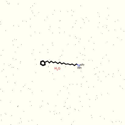 CCCN(CCC)CCCCCCCCCCCCCCCc1ccccc1.O